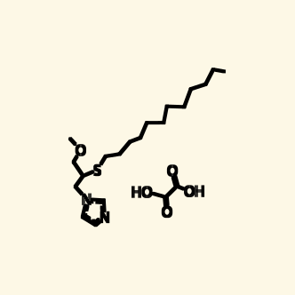 CCCCCCCCCCCCSC(COC)Cn1ccnc1.O=C(O)C(=O)O